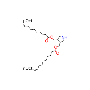 CCCCCCCC/C=C\CCCCCCCC(=O)OCC1CNC[C@H]1COC(=O)CCCCCCC/C=C\CCCCCCCC